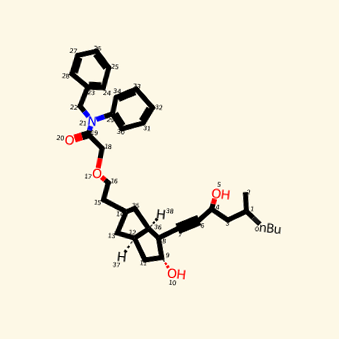 CCCCC(C)CC(O)C#CC1[C@H](O)C[C@H]2CC(CCOCC(=O)N(Cc3ccccc3)c3ccccc3)C[C@@H]12